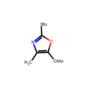 COc1oc(C(C)(C)C)nc1C